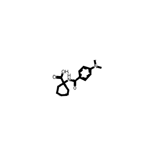 CN(C)c1ccc(C(=O)NC2(C(=O)O)CCCCC2)cc1